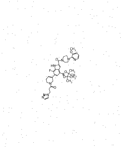 COc1cccnc1N1CCN(C(=O)c2cc3c(B4OC(C)(C)C(C)(C)O4)cc(C4=CCCN(C(=O)CCn5ccnn5)C4)c(F)c3[nH]2)CC1